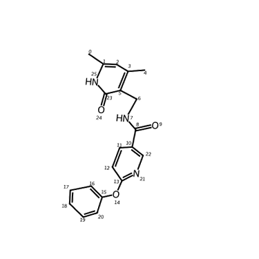 Cc1cc(C)c(CNC(=O)c2ccc(Oc3ccccc3)nc2)c(=O)[nH]1